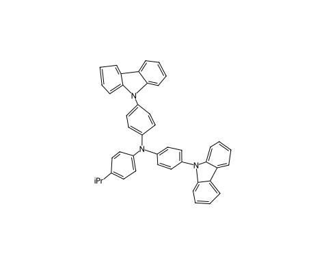 CC(C)c1ccc(N(c2ccc(-n3c4ccccc4c4ccccc43)cc2)c2ccc(-n3c4ccccc4c4ccccc43)cc2)cc1